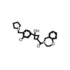 O=C(C1CC(O)(c2ccc(CN3CCCC3)c(Cl)c2)C1)N1CCOc2ccccc2C1